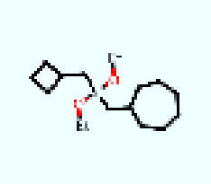 CCO[Si](CC1CCCCCC1)(CC1CCC1)OCC